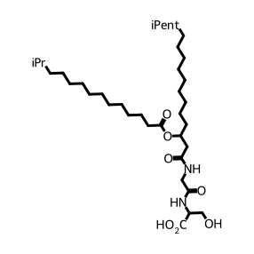 CCCC(C)CCCCCCCCCC(CC(=O)NCC(=O)NC(CO)C(=O)O)OC(=O)CCCCCCCCCCCC(C)C